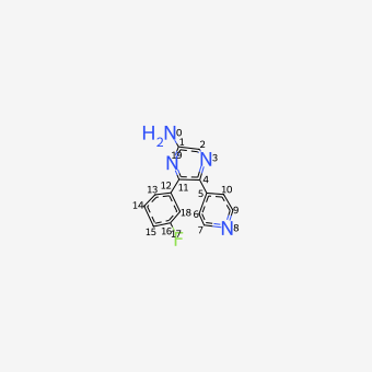 Nc1cnc(-c2ccncc2)c(-c2cccc(F)c2)n1